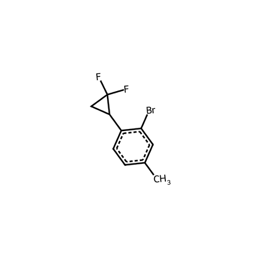 Cc1ccc(C2CC2(F)F)c(Br)c1